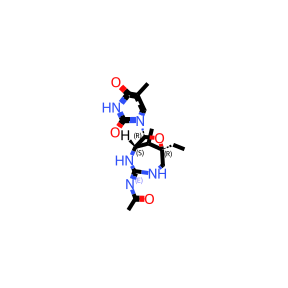 CC[C@]12CN/C(=N\C(C)=O)N[C@@H](C1C)[C@H](n1cc(C)c(=O)[nH]c1=O)O2